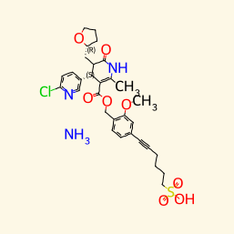 COc1cc(C#CCCCCS(=O)(=O)O)ccc1COC(=O)C1=C(C)NC(=O)C(C[C@H]2CCCO2)[C@H]1c1ccc(Cl)nc1.N